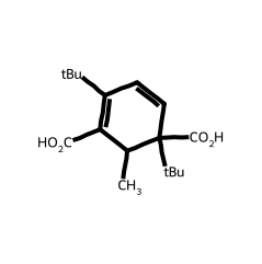 CC1C(C(=O)O)=C(C(C)(C)C)C=CC1(C(=O)O)C(C)(C)C